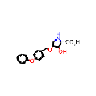 O=C(O)[C@H]1NC[C@@H](OCc2ccc(Oc3ccccc3)cc2)[C@@H]1O